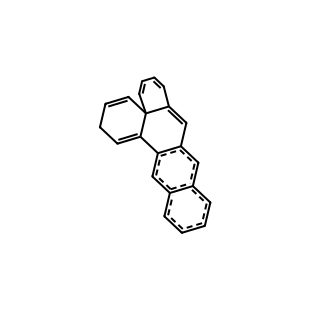 C1=CC2=Cc3cc4ccccc4cc3C3=CCC=CC23C=C1